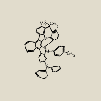 Cc1ccc(N2B3c4cccc5c4-n4c6c(cccc6c6c7ccccc7c(c3c64)-c3ccc(N(c4ccccc4)c4ccccc4)cc32)C5(C)C)cc1